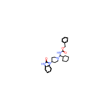 O=C(NC(C1CCCCC1)N1CCC(n2c(=O)[nH]c3ccccc32)CC1)OCc1ccccc1